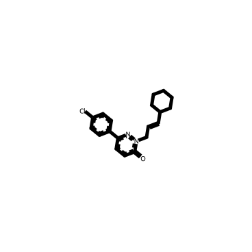 O=c1ccc(-c2ccc(Cl)cc2)nn1CC=CC1CCCCC1